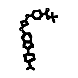 CN(C)c1ccc(-c2nc3ccc(O[C@H]4C[C@H](OC5CCN(C(=O)OC(C)(C)C)CC5)C4)cc3s2)cc1